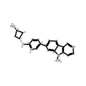 Cn1c2ccncc2c2ccc(-c3ccc(O[C@H]4C[C@H](O)C4)nc3)cc21